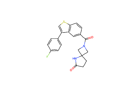 O=C1CCC2(CN(C(=O)c3ccc4scc(-c5ccc(F)cc5)c4c3)C2)N1